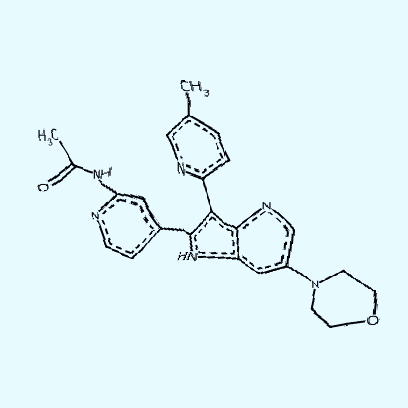 CC(=O)Nc1cc(-c2[nH]c3cc(N4CCOCC4)cnc3c2-c2ccc(C)cn2)ccn1